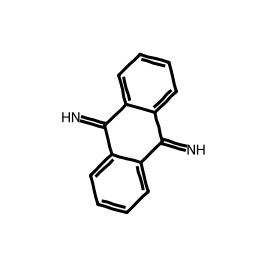 N=C1c2ccccc2C(=N)c2ccccc21